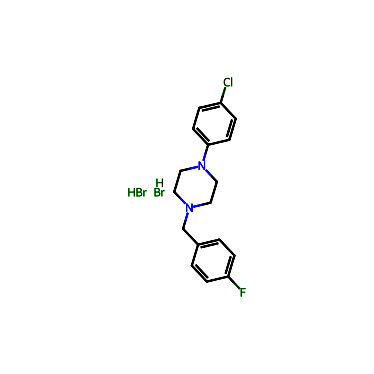 Br.Br.Fc1ccc(CN2CCN(c3ccc(Cl)cc3)CC2)cc1